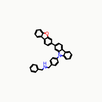 c1ccc(CNCc2ccc(-n3c4ccccc4c4ccc(-c5ccc6c(c5)oc5ccccc56)cc43)cc2)cc1